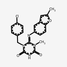 Cc1cc2cc(/N=c3\n(C)c(=O)[nH]c(=O)n3Cc3ccc(Cl)cc3)ccc2o1